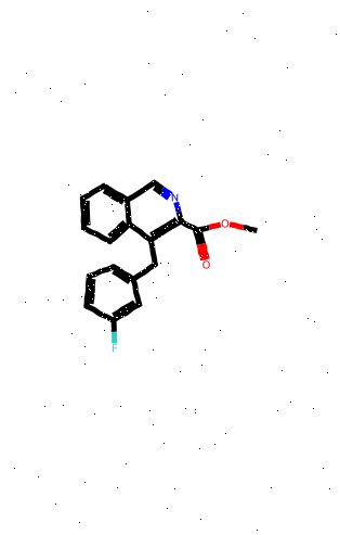 COC(=O)c1ncc2ccccc2c1Cc1cccc(F)c1